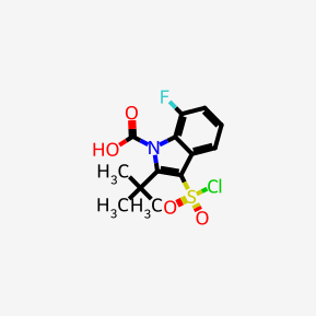 CC(C)(C)c1c(S(=O)(=O)Cl)c2cccc(F)c2n1C(=O)O